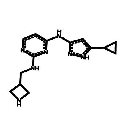 c1cc(Nc2cc(C3CC3)[nH]n2)nc(NCC2CNC2)n1